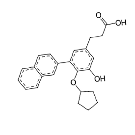 O=C(O)CCc1cc(O)c(OC2CCCC2)c(-c2ccc3ccccc3c2)c1